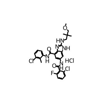 COCC(C)(C)CNc1nc2c(C(=O)Nc3cccc(Cl)c3C)cc(NC(=O)c3c(F)cccc3Cl)cc2[nH]1.Cl